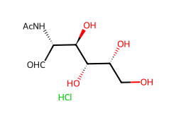 CC(=O)N[C@@H](C=O)[C@@H](O)[C@@H](O)[C@H](O)CO.Cl